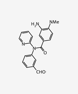 CNc1ccc(C(=O)N(c2cccc([C]=O)c2)c2ccccn2)cc1N